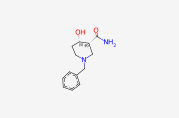 NC(=O)[C@@H]1CN(Cc2ccccc2)CC[C@@H]1O